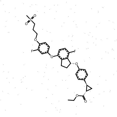 CCOC(=O)[C@H]1C[C@@H]1c1ccc(O[C@@H]2CCc3c(Oc4ccc(OCCCS(C)(=O)=O)c(F)c4)ccc(F)c32)cc1